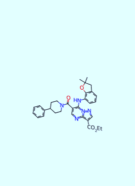 CCOC(=O)c1cnn2c(Nc3cccc4c3OC(C)(C)C4)c(C(=O)N3CCC(c4ccccc4)CC3)cnc12